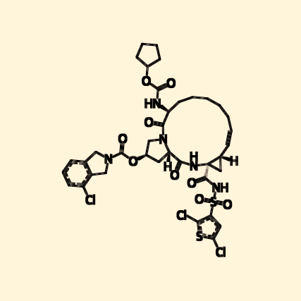 O=C(N[C@H]1CCCCC/C=C\[C@@H]2C[C@@]2(C(=O)NS(=O)(=O)c2cc(Cl)sc2Cl)NC(=O)[C@@H]2C[C@@H](OC(=O)N3Cc4cccc(Cl)c4C3)CN2C1=O)OC1CCCC1